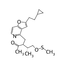 CSOC[C@H](C)C(Cc1nccc2oc(CCC3CC3)cc12)C(C)=O